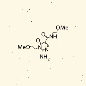 COCCNC(=O)c1cnc(N)n(CCOC)c1=O